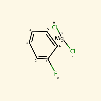 Fc1c[c]ccc1.[Cl][Mg][Cl]